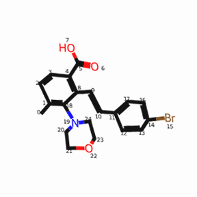 Cc1ccc(C(=O)O)c(C=Cc2ccc(Br)cc2)c1N1CCOCC1